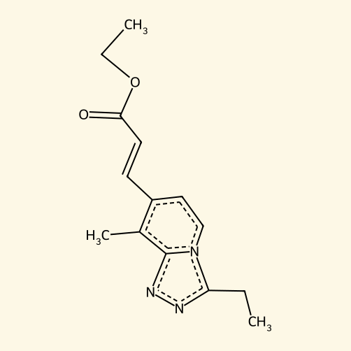 CCOC(=O)/C=C/c1ccn2c(CC)nnc2c1C